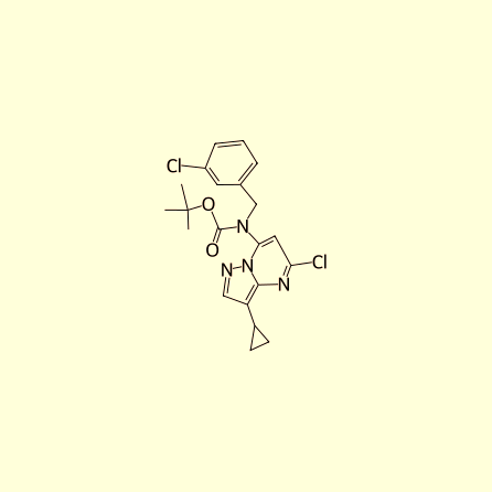 CC(C)(C)OC(=O)N(Cc1cccc(Cl)c1)c1cc(Cl)nc2c(C3CC3)cnn12